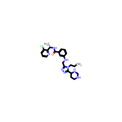 CCCn1c(CNc2cccc(C(=O)N[C@@H](C)c3ncccc3Cl)c2)nnc1C1CCNCN1